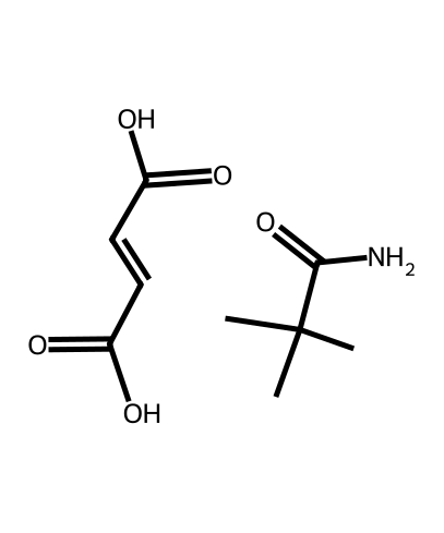 CC(C)(C)C(N)=O.O=C(O)C=CC(=O)O